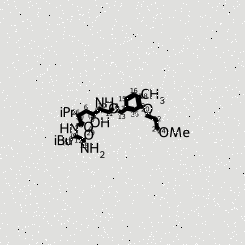 CC[C@H](C)[C@H](NC(=O)[C@@H](C[C@H](O)[C@@H](N)COCc1ccc(C)c(OCCCOC)c1)C(C)C)C(N)=O